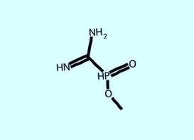 CO[PH](=O)C(=N)N